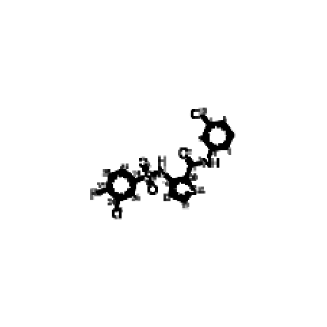 O=C(Nc1cccc(Cl)c1)c1sccc1NS(=O)(=O)c1ccc(F)c(Cl)c1